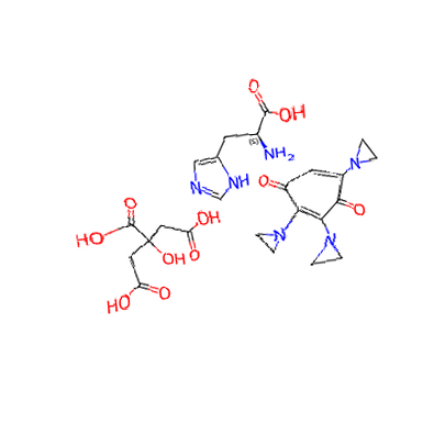 N[C@@H](Cc1cnc[nH]1)C(=O)O.O=C(O)CC(O)(CC(=O)O)C(=O)O.O=C1C=C(N2CC2)C(=O)C(N2CC2)=C1N1CC1